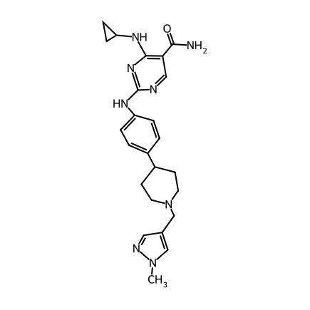 Cn1cc(CN2CCC(c3ccc(Nc4ncc(C(N)=O)c(NC5CC5)n4)cc3)CC2)cn1